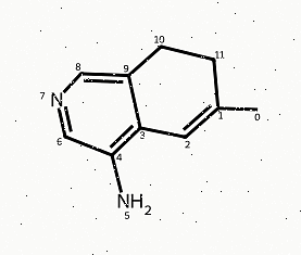 CC1=Cc2c(N)cncc2CC1